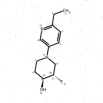 CCc1ccc(N2CC[C@H](O)[C@@H](F)C2)cn1